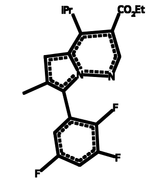 CCOC(=O)c1cnn2c(-c3cc(F)cc(F)c3F)c(C)cc2c1C(C)C